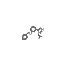 CC(C)Cn1cncc1-c1cccc(OCc2ccccc2)c1